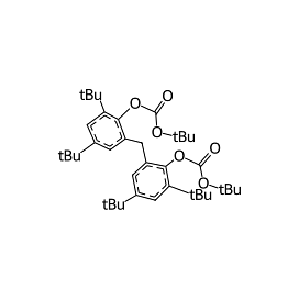 CC(C)(C)OC(=O)Oc1c(Cc2cc(C(C)(C)C)cc(C(C)(C)C)c2OC(=O)OC(C)(C)C)cc(C(C)(C)C)cc1C(C)(C)C